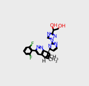 CC1(C)[C@H]2CC[C@@]1(c1ccnc(-n3cnc(C(O)CO)n3)n1)c1nnc(-c3c(F)cccc3F)cc12